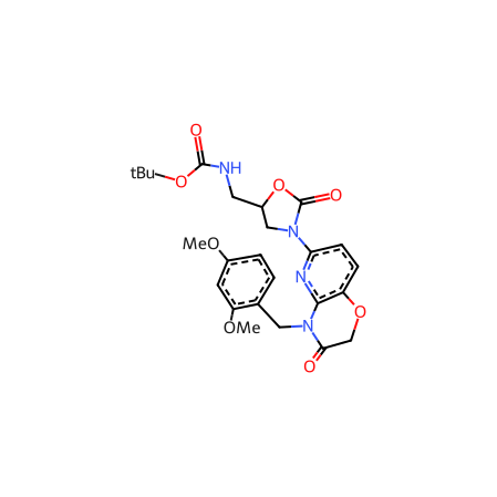 COc1ccc(CN2C(=O)COc3ccc(N4CC(CNC(=O)OC(C)(C)C)OC4=O)nc32)c(OC)c1